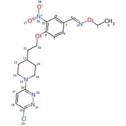 CCON=Cc1ccc(OCCC2CCN(c3ccc(Cl)nn3)CC2)c([N+](=O)[O-])c1